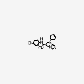 O=C(Nc1ccc(Cl)cc1Cl)C(CSc1ccccc1)Cn1ccnc1